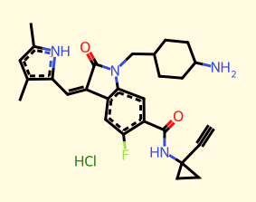 C#CC1(NC(=O)c2cc3c(cc2F)/C(=C/c2[nH]c(C)cc2C)C(=O)N3CC2CCC(N)CC2)CC1.Cl